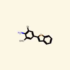 CCc1cc(-c2cc3ccccc3s2)cc(C=O)c1N